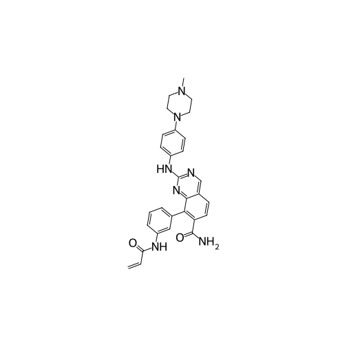 C=CC(=O)Nc1cccc(-c2c(C(N)=O)ccc3cnc(Nc4ccc(N5CCN(C)CC5)cc4)nc23)c1